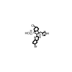 CC(c1ccc2cc(Br)ccc2n1)C(O)(Cc1nc[nH]n1)c1ccc(Cl)cc1Cl.Cl.Cl